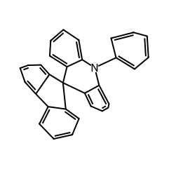 c1ccc(N2c3ccccc3C3(c4ccccc4-c4ccccc43)c3ccccc32)cc1